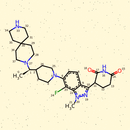 C[C@H](C1CCN(c2ccc3c(C4CCC(=O)NC4=O)nn(C)c3c2F)CC1)N1CCC2(CCNCC2)CC1